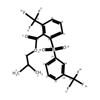 CC(C)COC(=O)c1c(C(F)(F)F)cccc1S(=O)(=O)c1cccc(C(F)(F)F)c1